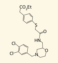 CCOC(=O)Cc1ccc(SCC(=O)NCC2CN(Cc3ccc(Cl)c(Cl)c3)CCO2)cc1